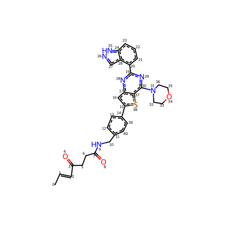 CC=CC(=O)CCC(=O)NCc1ccc(-c2cc3nc(-c4cccc5[nH]ncc45)nc(N4CCOCC4)c3s2)cc1